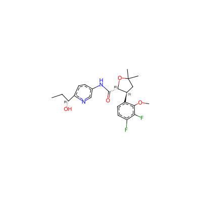 CC[C@@H](O)c1ccc(NC(=O)[C@@H]2OC(C)(C)C[C@H]2c2ccc(F)c(F)c2OC)cn1